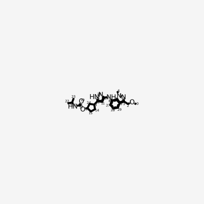 COCc1nn(C)c2c(Nc3cc(C4CCC(OC(=O)NC(C)C)C4)[nH]n3)cccc12